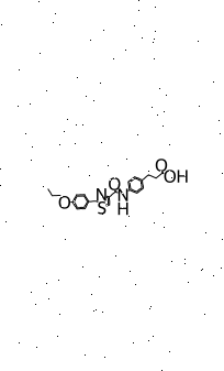 CCCOc1ccc(-c2nc(C(=O)Nc3ccc(CCC(=O)O)cc3)cs2)cc1